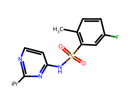 Cc1ccc(F)cc1S(=O)(=O)Nc1ccnc(C(C)C)n1